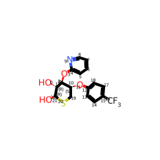 O[C@@H]1[C@@H](Oc2ccccn2)[C@H](Oc2ccc(C(F)(F)F)cc2)CS[C@H]1O